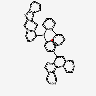 c1ccc(-c2ccccc2N(c2ccc(-c3cc4ccccc4c4c3ccc3ccccc34)cc2)c2cccc3cc4sc5ccccc5c4cc23)cc1